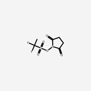 CC(F)(F)S(=O)(=O)ON1C(=O)CCC1=O